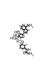 C[C@@]1(O)[C@@H](COc2cccc(NC(N)=O)c2)O[C@@H](n2ccc3c(N)ncnc32)[C@@H]1O.Cl